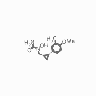 COc1ccc([C@@H]2C[C@H]2CN(O)C(N)=O)cc1C